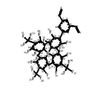 C=Cc1cc(C=C)cc(-c2c(F)c(F)c([B-](c3c(F)c(F)c(C(F)(F)F)c(F)c3F)(c3c(F)c(F)c(C(F)(F)F)c(F)c3F)c3c(F)c(F)c(C(F)(F)F)c(F)c3F)c(F)c2F)c1